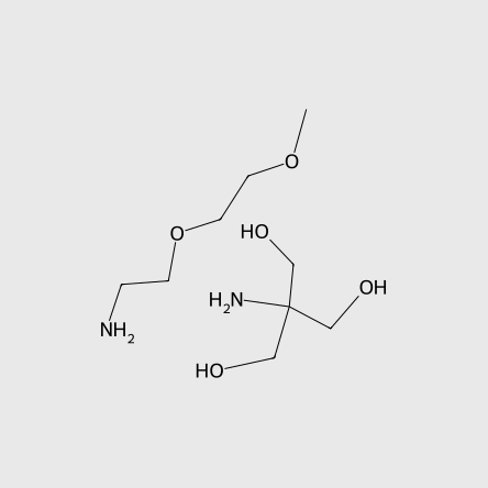 COCCOCCN.NC(CO)(CO)CO